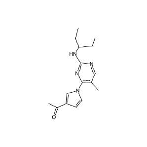 CCC(CC)Nc1ncc(C)c(-n2ccc(C(C)=O)c2)n1